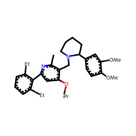 CCc1cccc(CC)c1-c1cc(OC(C)C)c(CN2CCCCC2c2ccc(OC)c(OC)c2)c(C)n1